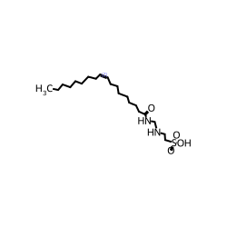 CCCCCCCC/C=C\CCCCCCCC(=O)NCNCCS(=O)(=O)O